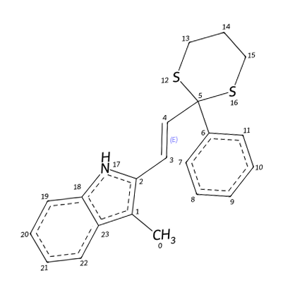 Cc1c(/C=C/C2(c3ccccc3)SCCCS2)[nH]c2ccccc12